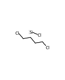 ClCCCCCl.[Si]Cl